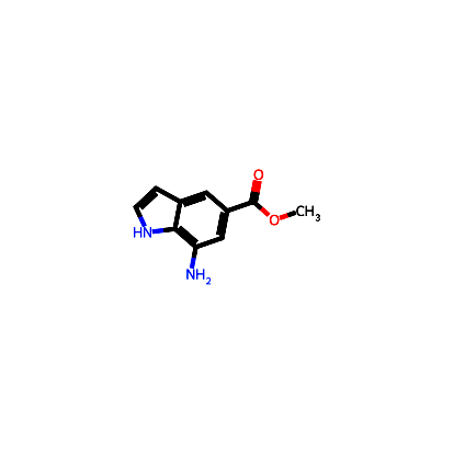 COC(=O)c1cc(N)c2[nH]ccc2c1